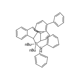 CCC[CH2][Ti]([CH2]CCC)([CH]1C=Cc2c(-c3ccccc3)cccc21)([CH]1C(C)=Cc2ccccc21)[SiH](c1ccccc1)c1ccccc1